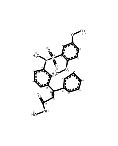 COc1ccc(OC)c(S(=O)(=O)N(C)c2cccc(/C(=C\C(=O)NO)c3ccccc3)c2)c1